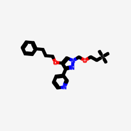 C[Si](C)(C)CCOCn1cc(OCCCc2ccccc2)c(-c2cccnc2)n1